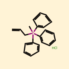 C=CCP(C)(c1ccccc1)(c1ccccc1)c1ccccc1.Cl